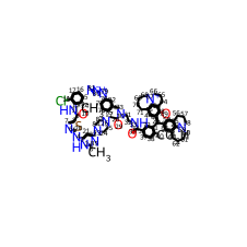 Cc1nc(Nc2ncc(C(=O)Nc3c(C)cccc3Cl)s2)cc(N2CCN(CC(=O)N(CCNC(=O)c3ccc(C(=O)O)c(C4=c5cc6c7c(c5Oc5c4cc4c8c5CCCN8CCCC4)CCC[N+]=7CCCC6)c3)Cc3cccc(N=[N+]=[N-])c3)CC2)n1